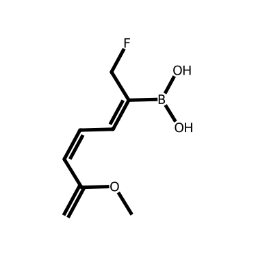 C=C(/C=C\C=C(/CF)B(O)O)OC